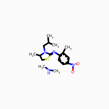 CNC.Cc1cc([N+](=O)[O-])ccc1N=C1SCC(C)N1CC(C)C